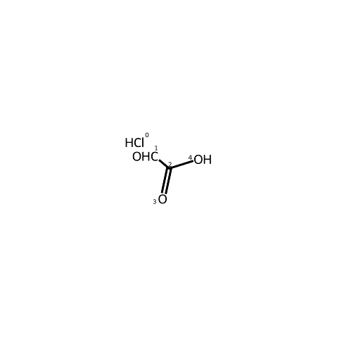 Cl.O=CC(=O)O